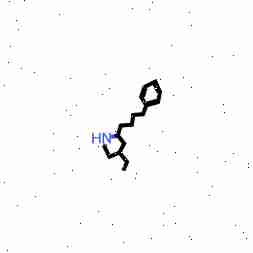 CCC1CCNC(CCCCc2ccccc2)C1